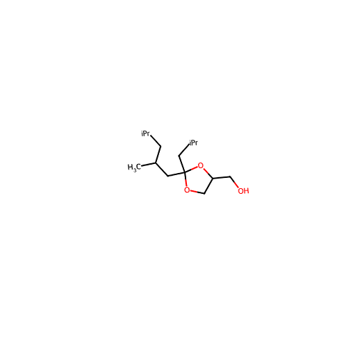 CC(C)CC(C)CC1(CC(C)C)OCC(CO)O1